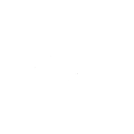 Cc1cc(Oc2ccnc(Nc3cccc(C(C)(C)C(=O)O)c3)c2)c(-c2ccccn2)nc1C